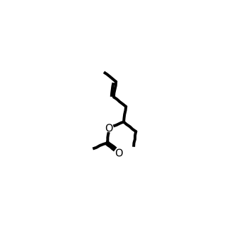 CC=CCC(CC)OC(C)=O